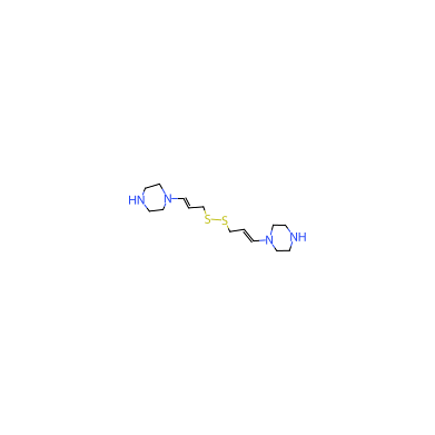 C(=CN1CCNCC1)CSSCC=CN1CCNCC1